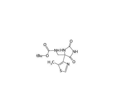 Cc1scnc1C1(CNC(=O)OC(C)(C)C)NC(=O)NC1=O